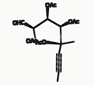 CC#C[C@](C)(OC(C)=O)[C@H](OC(C)=O)[C@H](OC(C)=O)[C@H](C=O)OC(C)=O